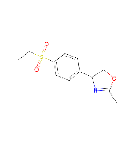 CCS(=O)(=O)c1ccc(C2COC(C)=N2)cc1